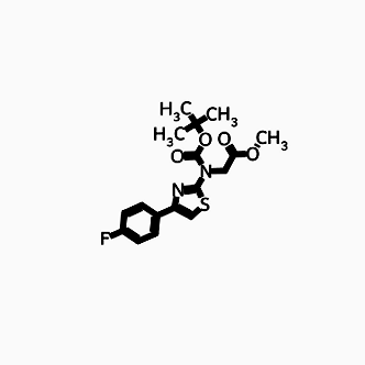 COC(=O)CN(C(=O)OC(C)(C)C)c1nc(-c2ccc(F)cc2)cs1